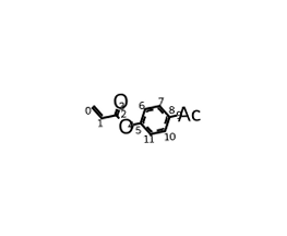 C=CC(=O)Oc1ccc(C(C)=O)cc1